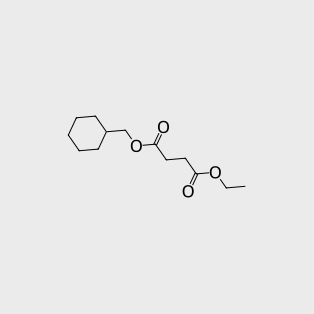 CCOC(=O)CCC(=O)OCC1CCCCC1